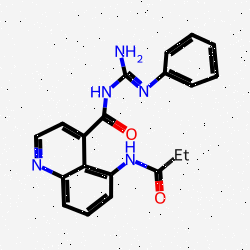 CCC(=O)Nc1cccc2nccc(C(=O)NC(N)=Nc3ccccc3)c12